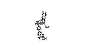 Cc1noc(-c2ccc(-c3ccc(C4(C(=O)O)CC4)cc3)cc2)c1Nc1cccc(Cc2ccccc2)n1.[Na]